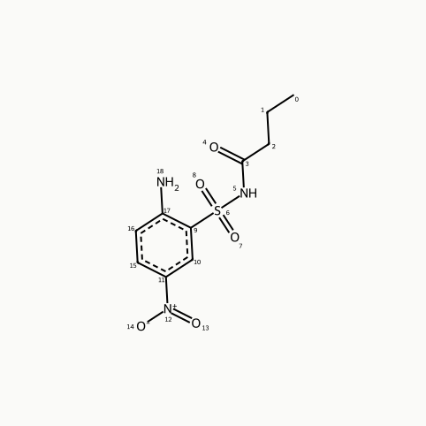 CCCC(=O)NS(=O)(=O)c1cc([N+](=O)[O-])ccc1N